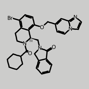 O=C1c2ccccc2CN1C[C@@H]1c2c(OCc3ccn4ccnc4c3)ccc(Br)c2CCN1C(=O)C1CCCCC1